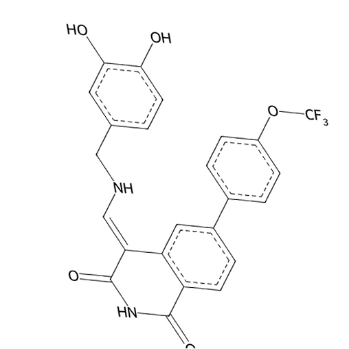 O=C1NC(=O)c2ccc(-c3ccc(OC(F)(F)F)cc3)cc2C1=CNCc1ccc(O)c(O)c1